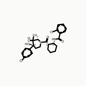 CC1(C)CN(C(=O)[C@H]2CCCC[C@H]2NC(=O)c2ccccc2Cl)CC[C@]1(O)c1ccc(Cl)cc1